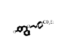 CCOC(=O)N1CCN(CCCOC(Cc2ccc(Cl)cc2)c2ccccc2)CC1